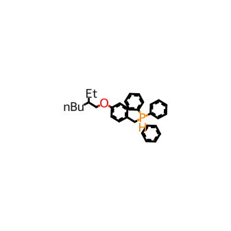 CCCCC(CC)COc1ccc(C[PH](c2ccccc2)(c2ccccc2)c2ccccc2)cc1